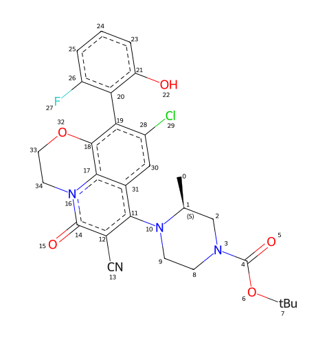 C[C@H]1CN(C(=O)OC(C)(C)C)CCN1c1c(C#N)c(=O)n2c3c(c(-c4c(O)cccc4F)c(Cl)cc13)OCC2